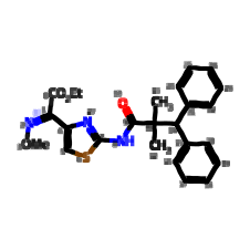 CCOC(=O)/C(=N/OC)c1csc(NC(=O)C(C)(C)C(c2ccccc2)c2ccccc2)n1